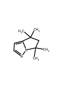 CC1(C)CC(C)(C)n2nccc21